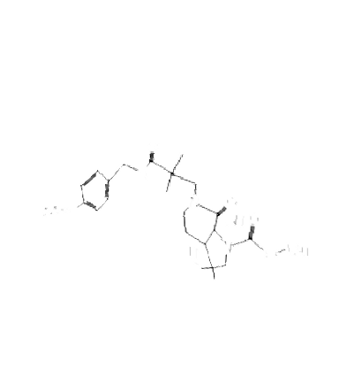 COc1ccc(COC(=O)C(C)(C)CN2CC[C@H]3[C@@H](C2=O)N(C(=O)OC(C)(C)C)CC3(F)F)cc1